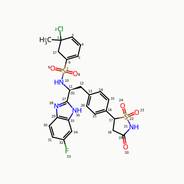 CC1(Cl)C=CC=C(S(=O)(=O)N[C@@H](Cc2ccc(C3CC(=O)NS3(=O)=O)cc2)c2nc3ccc(F)cc3[nH]2)C1